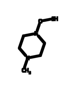 CN1CCN(OS)CC1